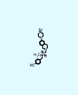 CC(=O)N1CCN(c2ccc3c(c2)CCN(CS(=O)(=O)N(C)Cc2ccc(C#N)cc2)C3)CC1